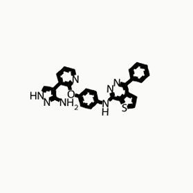 Nc1n[nH]cc1-c1cccnc1Oc1ccc(Nc2nnc(-c3ccccc3)c3ccsc23)cc1